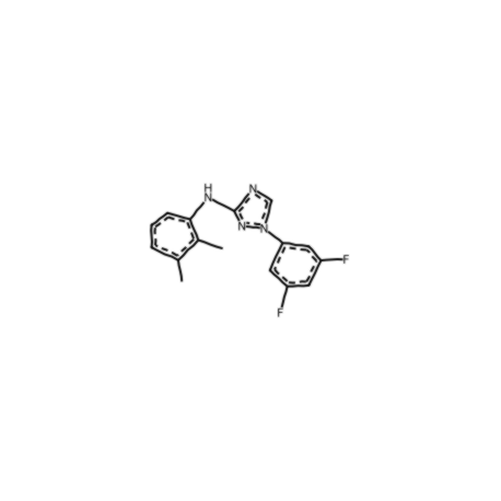 Cc1cccc(Nc2ncn(-c3cc(F)cc(F)c3)n2)c1C